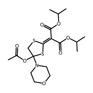 CC(=O)OC1(N2CCOCC2)CSC(=C(C(=O)OC(C)C)C(=O)OC(C)C)S1